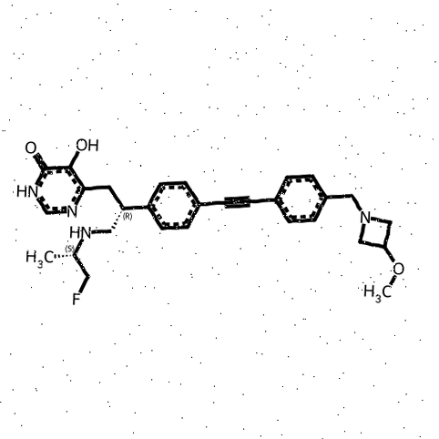 COC1CN(Cc2ccc(C#Cc3ccc([C@H](CN[C@@H](C)CF)Cc4nc[nH]c(=O)c4O)cc3)cc2)C1